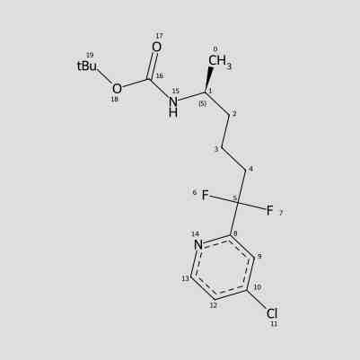 C[C@@H](CCCC(F)(F)c1cc(Cl)ccn1)NC(=O)OC(C)(C)C